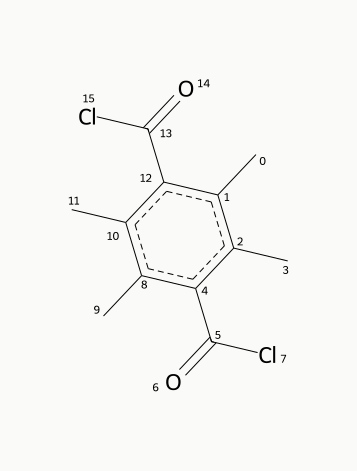 Cc1c(C)c(C(=O)Cl)c(C)c(C)c1C(=O)Cl